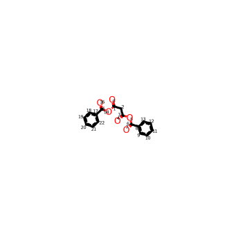 O=C(CC(=O)OC(=O)c1ccccc1)OC(=O)c1ccccc1